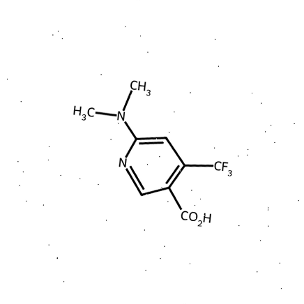 CN(C)c1cc(C(F)(F)F)c(C(=O)O)cn1